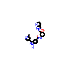 Cc1cc(-c2n[nH]c3ccc(C(=O)N[C@H]4CCC[C@](O)(Cn5cc6cccnc6n5)C4)cc23)ccn1